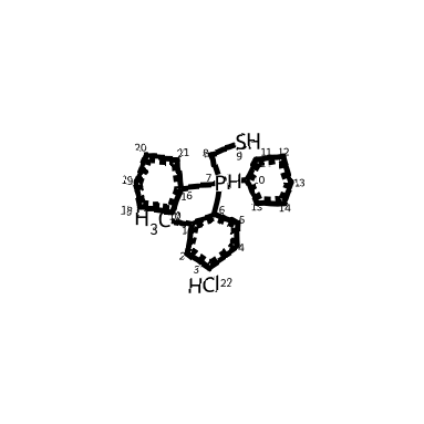 Cc1ccccc1[PH](CS)(c1ccccc1)c1ccccc1.Cl